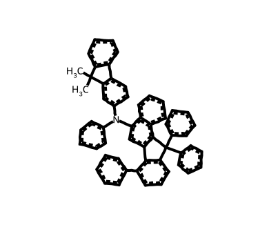 CC1(C)c2ccccc2-c2ccc(N(c3ccccc3)c3cc4c(c5ccccc35)C(c3ccccc3)(c3ccccc3)c3cccc(-c5ccccc5)c3-4)cc21